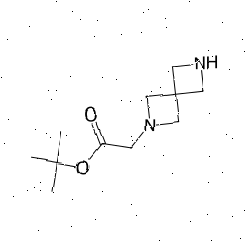 CC(C)(C)OC(=O)CN1CC2(CNC2)C1